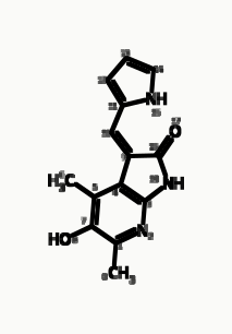 Cc1nc2c(c(C)c1O)/C(=C/c1ccc[nH]1)C(=O)N2